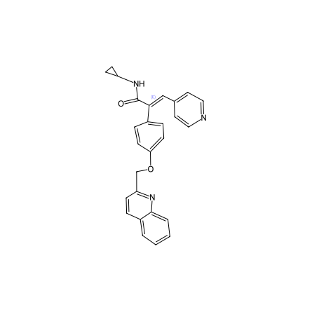 O=C(NC1CC1)/C(=C/c1ccncc1)c1ccc(OCc2ccc3ccccc3n2)cc1